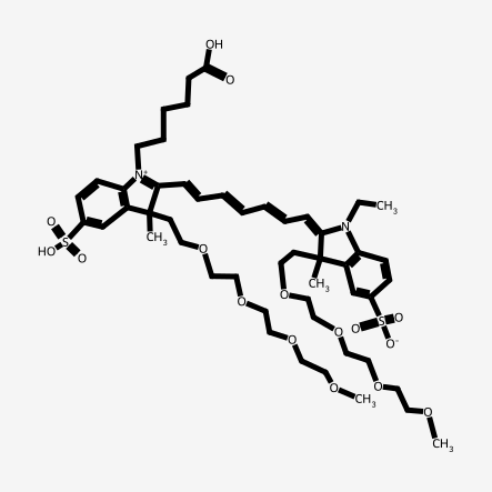 CCN1/C(=C/C=C/C=C/C=C/C2=[N+](CCCCCC(=O)O)c3ccc(S(=O)(=O)O)cc3C2(C)CCOCCOCCOCCOC)C(C)(CCOCCOCCOCCOC)c2cc(S(=O)(=O)[O-])ccc21